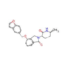 C=C1CCC(N2Cc3c(OCc4ccc5occc5c4)cccc3C2=O)C(=O)N1